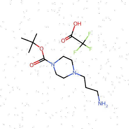 CC(C)(C)OC(=O)N1CCN(CCCN)CC1.O=C(O)C(F)(F)F